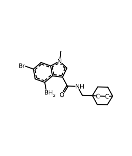 Bc1cc(Br)cc2c1c(C(=O)NCC13CCC(CC1)CC3)cn2C